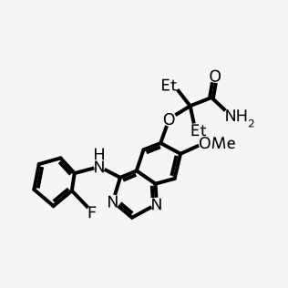 CCC(CC)(Oc1cc2c(Nc3ccccc3F)ncnc2cc1OC)C(N)=O